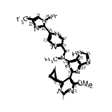 COc1ncnc(C2CC2)c1-c1nc(N(C)Cc2cnc(-c3nc(C(F)(F)F)cn3C(C)C)cn2)c2[nH]cnc2n1